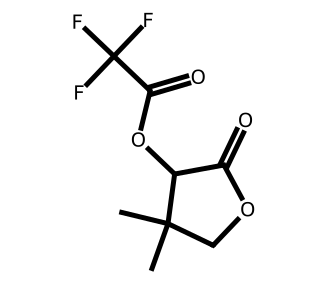 CC1(C)COC(=O)C1OC(=O)C(F)(F)F